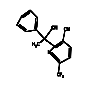 CC(C#N)(c1ccccc1)c1nc(C(F)(F)F)ccc1C#N